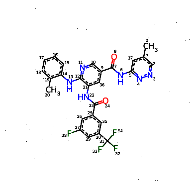 Cc1cnnc(NC(=O)c2cnc(Nc3ccccc3C)c(NC(=O)c3cc(F)cc(C(F)(F)F)c3)c2)c1